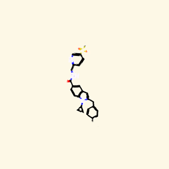 CCS(=O)(=O)c1ccc(CNC(=O)c2ccc3c(c2)cc(Cc2ccc(C(F)(F)F)cc2)n3C2CC2)nc1